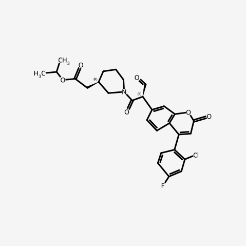 CC(C)OC(=O)C[C@H]1CCCN(C(=O)[C@@H](C=O)c2ccc3c(-c4ccc(F)cc4Cl)cc(=O)oc3c2)C1